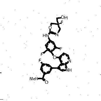 CNC(=O)c1cc(F)cc(-c2c[nH]c3nccc(Oc4c(F)cc(NC5=NC[C@@](F)(CO)CO5)cc4F)c23)c1